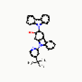 CC(C)(C)c1ccnc(-n2c3ccccc3c3cc(-n4c5ccccc5c5ccccc54)c(O)cc32)c1